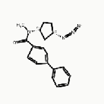 CN(C(=O)c1ccc(-c2ccccc2)cc1)[C@@H]1CC[C@H](N=[N+]=[N-])C1